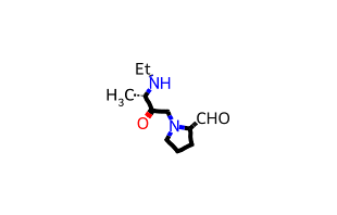 CCN[C@@H](C)C(=O)CN1CCCC1C=O